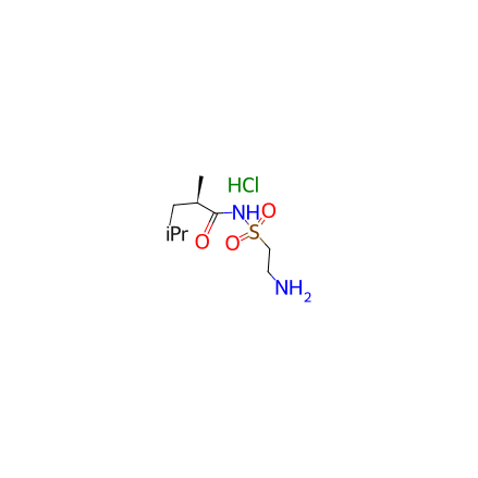 CC(C)C[C@@H](C)C(=O)NS(=O)(=O)CCN.Cl